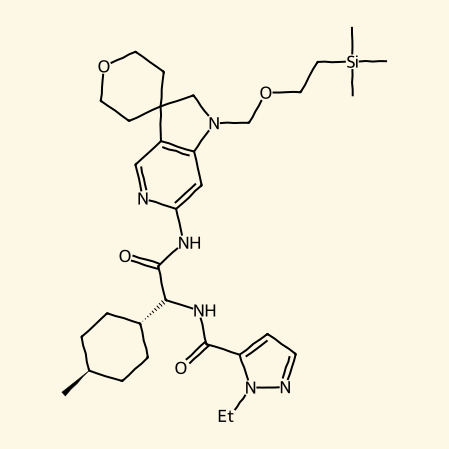 CCn1nccc1C(=O)NC(C(=O)Nc1cc2c(cn1)C1(CCOCC1)CN2COCC[Si](C)(C)C)[C@H]1CC[C@H](C)CC1